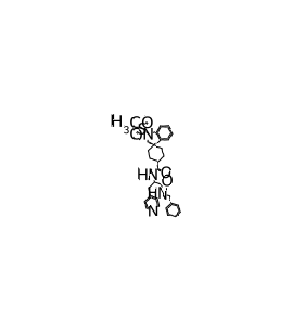 CS(=O)(=O)N1CC2(CCC(C(=O)NC(Cc3ccncc3)C(=O)NCc3ccccc3)CC2)c2ccccc21